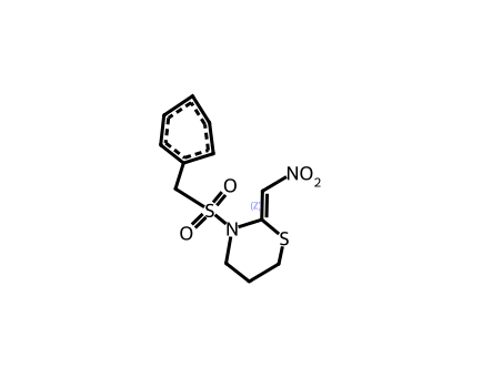 O=[N+]([O-])/C=C1\SCCCN1S(=O)(=O)Cc1ccccc1